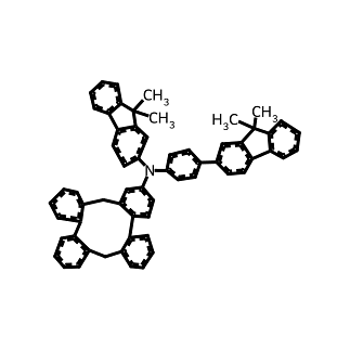 CC1(C)c2ccccc2-c2ccc(-c3ccc(N(c4ccc5c(c4)Cc4ccccc4-c4ccccc4Cc4ccccc4-5)c4ccc5c(c4)C(C)(C)c4ccccc4-5)cc3)cc21